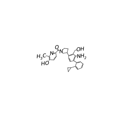 Cc1nc(C(=O)N2CCC(c3ccc(-c4ccccc4C4CC4)c(N)c3CO)C2)ccc1O